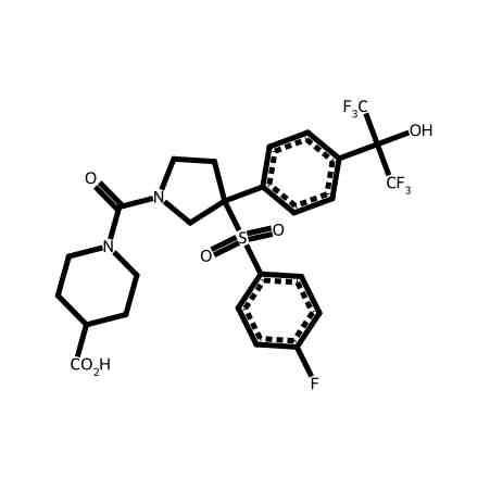 O=C(O)C1CCN(C(=O)N2CCC(c3ccc(C(O)(C(F)(F)F)C(F)(F)F)cc3)(S(=O)(=O)c3ccc(F)cc3)C2)CC1